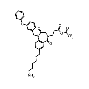 NCCCCCCc1ccc2c(c1)C(=O)N(CCC(=O)OC(=O)C(F)(F)F)CC(=O)N2Cc1cccc(Oc2ccccc2)c1